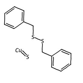 [S]=[Cu].c1ccc(CSSCc2ccccc2)cc1